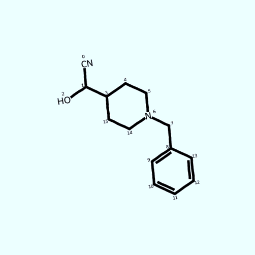 N#CC(O)C1CCN(Cc2ccccc2)CC1